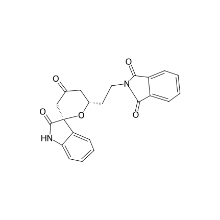 O=C1C[C@H](CCN2C(=O)c3ccccc3C2=O)O[C@]2(C1)C(=O)Nc1ccccc12